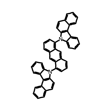 c1cc(-n2c3ccccc3c3c4ccccc4ccc32)c2cc3cccc(-n4c5ccccc5c5c6ccccc6ccc54)c3cc2c1